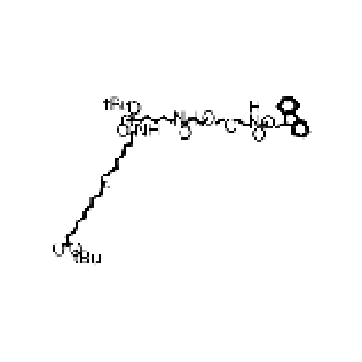 CC(C)(C)OC(=O)CCCCCCCCCCCCCCCCC(=O)NC(CCCCNC(=O)CCOCCOCCNC(=O)OCC1c2ccccc2-c2ccccc21)C(=O)OC(C)(C)C